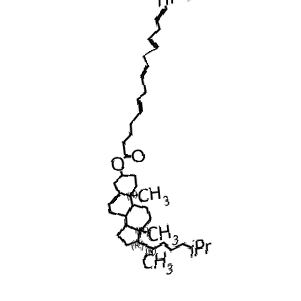 CCCCCC=CCC=CCC=CCC=CCCCC(=O)OC1CC[C@@]2(C)C(=CCC3C2CC[C@@]2(C)C3CC[C@@H]2[C@H](C)CCCC(C)C)C1